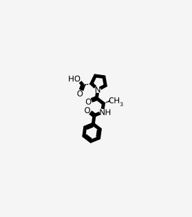 C[C@H](NC(=O)c1ccccc1)C(=O)N1CCC[C@H]1C(=O)O